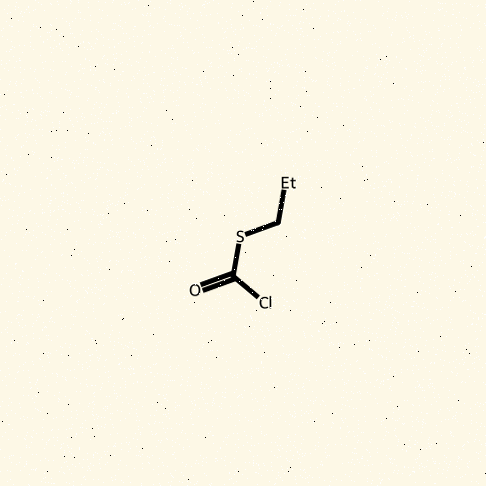 CCCSC(=O)Cl